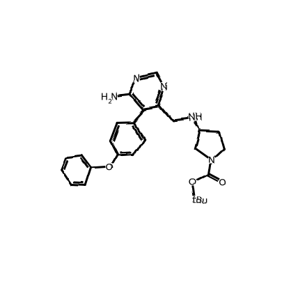 CC(C)(C)OC(=O)N1CC[C@H](NCc2ncnc(N)c2-c2ccc(Oc3ccccc3)cc2)C1